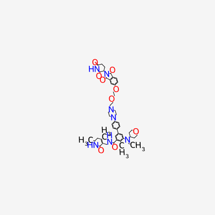 CCN(c1cc(-c2ccc(N3CCN(CCOCCOc4ccc5c(c4)C(=O)N(C4CCC(=O)NC4=O)C5=O)CC3)cc2)cc(C(=O)NCC2=C(C)CC(C)NC2=O)c1C)C1CCOCC1